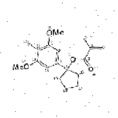 C=C(C)C(=O)OC1(c2cc(OC)c(I)c(OC)c2)CCCC1